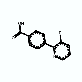 O=C(O)c1ccc(-c2ncccc2F)cc1